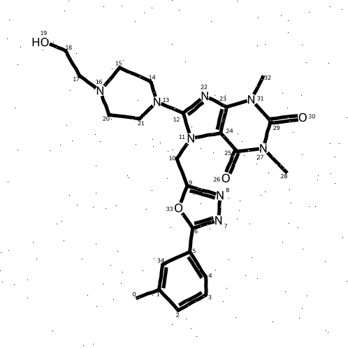 Cc1cccc(-c2nnc(Cn3c(N4CCN(CCO)CC4)nc4c3c(=O)n(C)c(=O)n4C)o2)c1